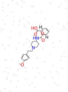 COc1ccc(CCN2CCC(NC(=O)C3C(C(=O)O)[C@H]4C=C[C@@H]3O4)CC2)cc1